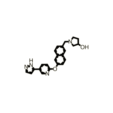 OC1CCN(Cc2ccc3cc(Oc4ccc(-c5ccn[nH]5)cn4)ccc3c2)C1